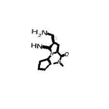 CN(C)C(=O)C1=C/C(=C/N)C(=N)N1C1CCCC1